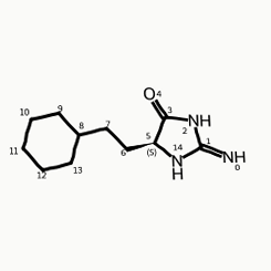 N=C1NC(=O)[C@H](CCC2CCCCC2)N1